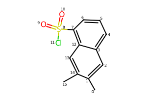 Cc1cc2cccc(S(=O)(=O)Cl)c2cc1C